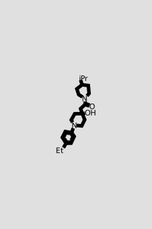 CCc1ccc(N2CCC(O)(CC(=O)N3CCC(C(C)C)CC3)CC2)cc1